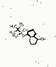 CC(C)(C)[Si](C)(C)Oc1cccc2c1CCCC2O